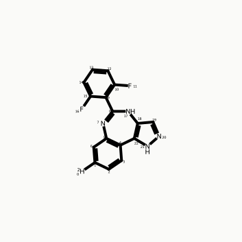 [2H]c1ccc2c(c1)N=C(c1c(F)cccc1F)Nc1cn[nH]c1-2